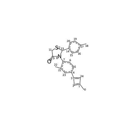 CC1=CC(c2ccc(N3C(=O)CSC3c3ccc(C)cc3)c(C)c2)=C1